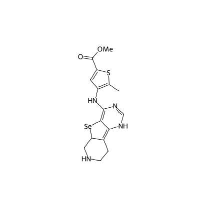 COC(=O)c1cc(NC2=C3[Se]C4CNCCC4=C3NC=N2)c(C)s1